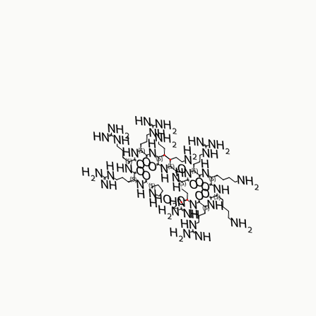 N=C(N)NCCC[C@H](NC(=O)[C@H](CCCCN)NC(=O)[C@H](CCCCN)NC(=O)[C@H](CCCNC(=N)N)NC(=O)[C@H](CCCNC(=N)N)NC(=O)[C@H](CCCCN)NC(=O)[C@H](CCCCN)NC(=O)[C@H](CCCNC(=N)N)NC(=O)[C@H](CCCNC(=N)N)NC(=O)[C@H](CCCNC(=N)N)NC(=O)[C@@H]1CCCN1)C(=O)NCC(=O)O